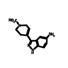 Nc1ccc2[nH]nc(C3=CCN(C(=O)O)CC3)c2c1